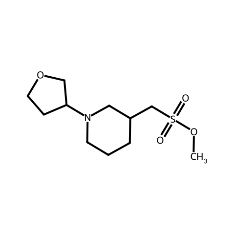 COS(=O)(=O)CC1CCCN(C2CCOC2)C1